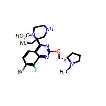 CN1CCC[C@H]1COc1nc(C2(CC#N)CNCCN2C(=O)O)c2ccc(Br)c(F)c2n1